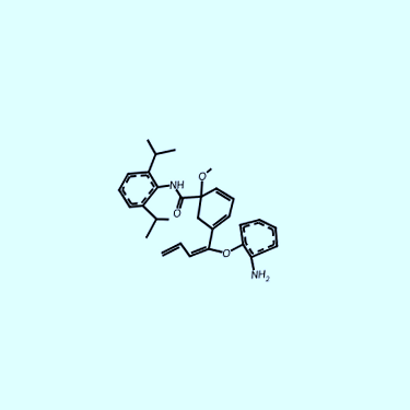 C=C/C=C(/Oc1ccccc1N)C1=CC=CC(OC)(C(=O)Nc2c(C(C)C)cccc2C(C)C)C1